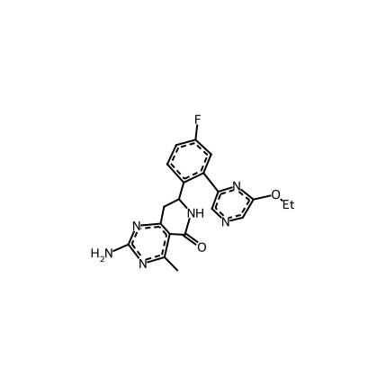 CCOc1cncc(-c2cc(F)ccc2C2Cc3nc(N)nc(C)c3C(=O)N2)n1